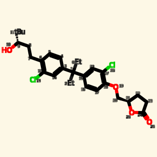 CCC(CC)(c1ccc(CC[C@H](O)C(C)(C)C)c(Cl)c1)c1ccc(OC[C@H]2CCC(=O)O2)c(Cl)c1